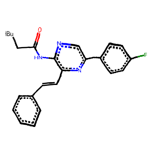 CCC(C)CC(=O)Nc1ncc(-c2ccc(F)cc2)nc1/C=C/c1ccccc1